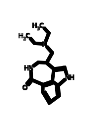 CCN(CC)CC1CNC(=O)c2cccc3[nH]cc1c23